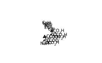 CCO.N.N.O=C(O)C[N+](CC(=O)O)(CC(=O)O)C1(C(=O)O)CC1.O=C([O-])C[N+](CC(=O)[O-])(CC(=O)O)C1(C(=O)O)CC1.[CaH2].[NaH].[NaH]